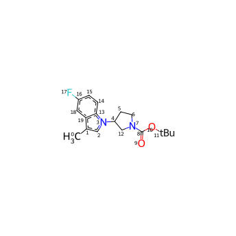 Cc1cn(C2CCN(C(=O)OC(C)(C)C)C2)c2ccc(F)cc12